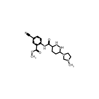 COC(=O)c1cc(C#N)ccc1NC(=O)C1CCC(N2CCN(C)C2)NN1